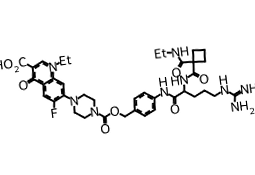 CCNC(=O)C1(C(=O)NC(CCCNC(=N)N)C(=O)Nc2ccc(COC(=O)N3CCN(c4cc5c(cc4F)c(=O)c(C(=O)O)cn5CC)CC3)cc2)CCC1